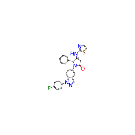 O=C1C[C@H](Nc2nccs2)C(c2ccccc2)N1c1ccc2c(cnn2-c2ccc(F)cc2)c1